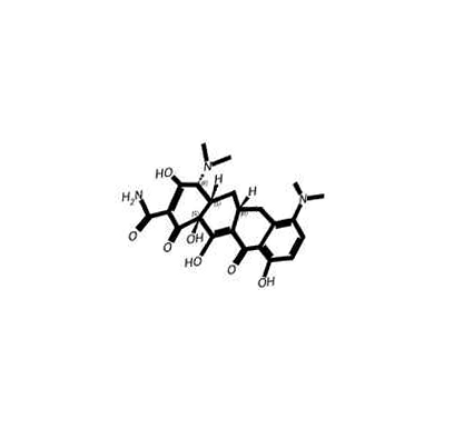 CN(C)c1ccc(O)c2c1C[C@H]1C[C@H]3[C@@H](N(C)C)C(O)=C(C(N)=O)C(=O)[C@@]3(O)C(O)=C1C2=O